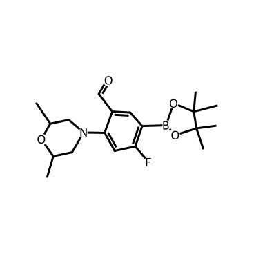 CC1CN(c2cc(F)c(B3OC(C)(C)C(C)(C)O3)cc2C=O)CC(C)O1